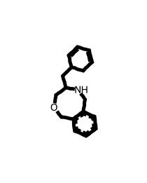 C1=CCC(CC2COCc3ccccc3CN2)C=C1